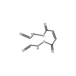 O=CNOC(=O)/C=C\C(=O)ONC=O